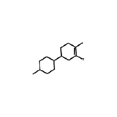 CC1=C(F)CC(C2CCC(C)CC2)CC1